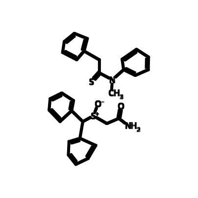 CN(C(=S)Cc1ccccc1)c1ccccc1.NC(=O)C[S+]([O-])C(c1ccccc1)c1ccccc1